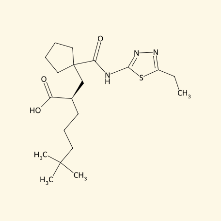 CCc1nnc(NC(=O)C2(C[C@@H](CCCC(C)(C)C)C(=O)O)CCCC2)s1